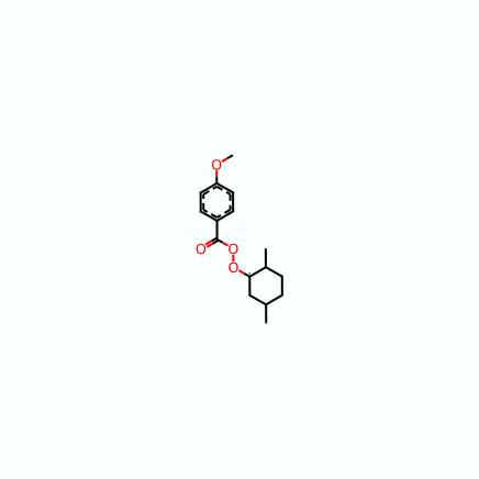 COc1ccc(C(=O)OO[C]2CC(C)CCC2C)cc1